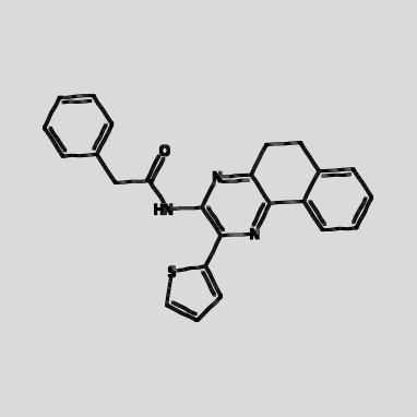 O=C(Cc1ccccc1)Nc1nc2c(nc1-c1cccs1)-c1ccccc1CC2